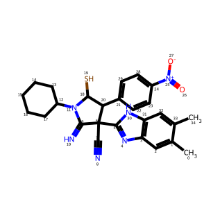 Cc1cc2nc(C3(C#N)C(=N)N(C4CCCCC4)C(S)C3c3ccc([N+](=O)[O-])cc3)[nH]c2cc1C